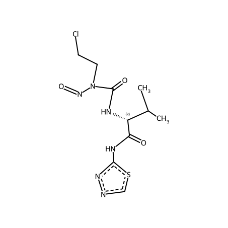 CC(C)[C@@H](NC(=O)N(CCCl)N=O)C(=O)Nc1nncs1